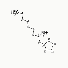 CCCCCCCC([NH])CC1CCCC1